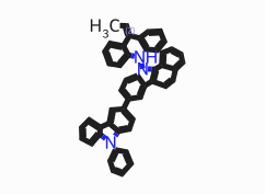 C/C=C(/c1ccccc1)c1ccccc1Nn1c2ccc(-c3ccc4c(c3)c3ccccc3n4-c3ccccc3)cc2c2ccc3ccccc3c21